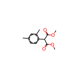 COC(=O)C(C(=O)OC)c1ccc(C)cc1C